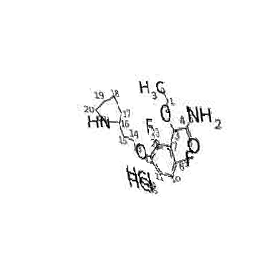 CCOC(C(N)=O)c1c(F)ccc(OCCC2CCCCN2)c1F.Cl.Cl